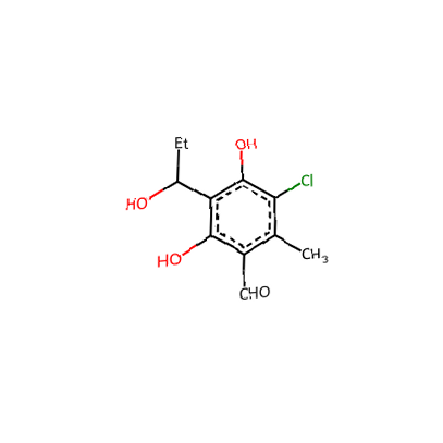 CCC(O)c1c(O)c(Cl)c(C)c(C=O)c1O